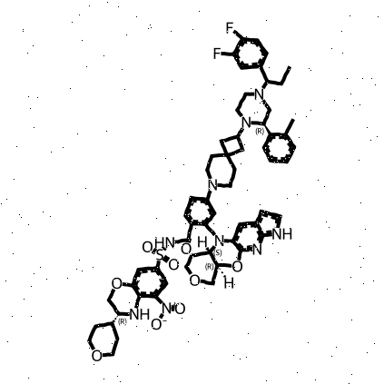 CCC(c1ccc(F)c(F)c1)N1CCN(C2CC3(CCN(c4ccc(C(=O)NS(=O)(=O)c5cc6c(c([N+](=O)[O-])c5)N[C@H](C5CCOCC5)CO6)c(N5c6cc7cc[nH]c7nc6O[C@H]6COCC[C@@H]65)c4)CC3)C2)[C@H](c2ccccc2C)C1